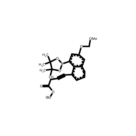 COCOc1cc(B2OC(C)(C)C(C)(C)O2)c2c(C#CCC(=O)OC(C)(C)C)cccc2c1